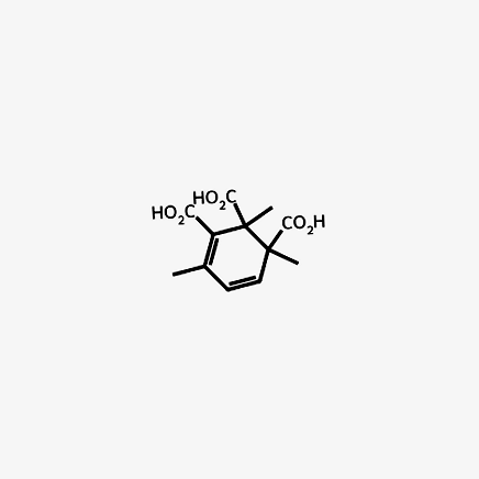 CC1=C(C(=O)O)C(C)(C(=O)O)C(C)(C(=O)O)C=C1